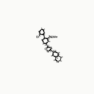 CCc1ccccc1-c1ccc(-c2nc(-c3ccc4c(c3)C=NCC4)no2)cc1COC